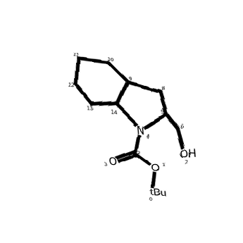 CC(C)(C)OC(=O)N1C(CO)CC2CCCCC21